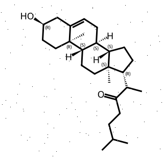 CC(C)CCC(=O)C(C)[C@H]1CC[C@H]2[C@@H]3CC=C4C[C@H](O)CC[C@]4(C)[C@H]3CC[C@]12C